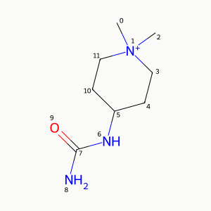 C[N+]1(C)CCC(NC(N)=O)CC1